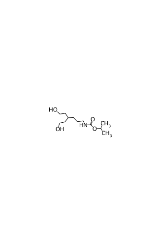 CC(C)OC(=O)NCCCC(CCO)CCO